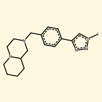 In1cc(-c2ccc(CN3CCN4CCCCC4C3)cc2)nn1